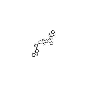 CC1(C)c2ccccc2C(C)(C)c2cc3c(cc21)c1ccccc1c1cc2c(cc31)C(C)(C)C1C=CC(c3cccc(-c4ccc5sc6ccccc6c5c4)c3)=CC1C2(C)C